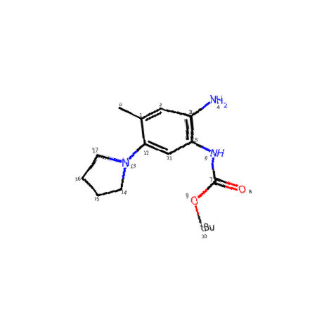 Cc1cc(N)c(NC(=O)OC(C)(C)C)cc1N1CCCC1